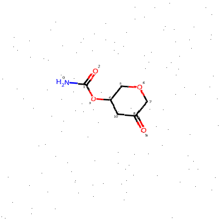 NC(=O)OC1COCC(=O)C1